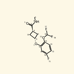 CNC(=O)[C@H]1C[C@H](Oc2cc(F)ccc2OC(F)F)C1